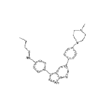 CCCSNc1ccc(-c2c[nH]c3ncc(-c4ccc(N5CCN(C)CC5)cc4)cc23)cc1